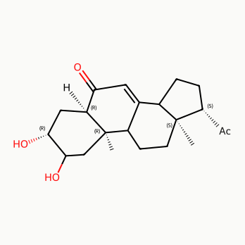 CC(=O)[C@H]1CCC2C3=CC(=O)[C@@H]4C[C@@H](O)C(O)C[C@]4(C)C3CC[C@@]21C